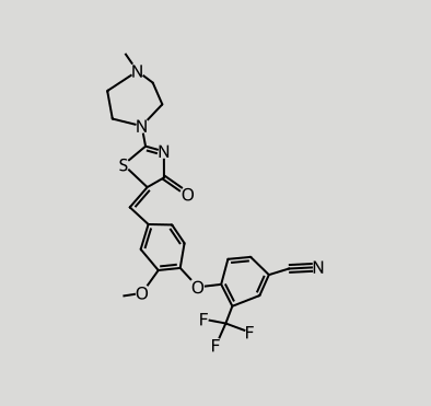 COc1cc(C=C2SC(N3CCN(C)CC3)=NC2=O)ccc1Oc1ccc(C#N)cc1C(F)(F)F